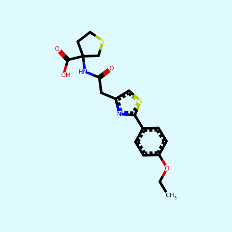 CCOc1ccc(-c2nc(CC(=O)NC3(C(=O)O)CCSC3)cs2)cc1